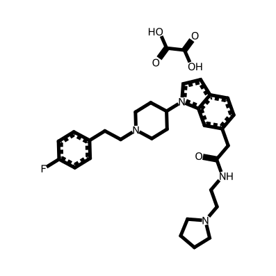 O=C(Cc1ccc2ccn(C3CCN(CCc4ccc(F)cc4)CC3)c2c1)NCCN1CCCC1.O=C(O)C(=O)O